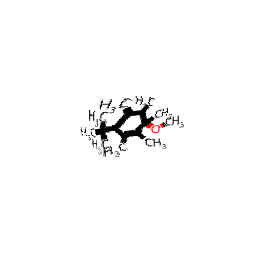 COC1(C)C(C)=C(C)C(C(C)(C)C)=C(C)C1C